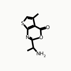 Cc1csc2nc(C(C)N)oc(=O)c12